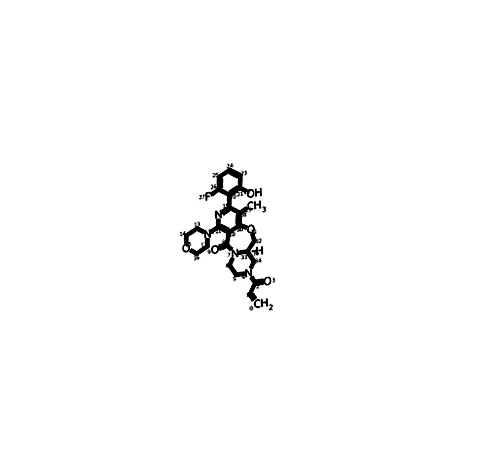 C=CC(=O)N1CCN2C(=O)c3c(N4CCOCC4)nc(-c4c(O)cccc4F)c(C)c3OC[C@H]2C1